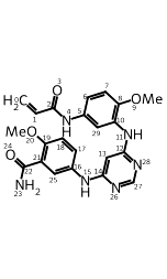 C=CC(=O)Nc1ccc(OC)c(Nc2cc(Nc3ccc(OC)c(C(N)=O)c3)ncn2)c1